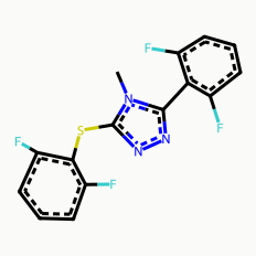 Cn1c(Sc2c(F)cccc2F)nnc1-c1c(F)cccc1F